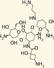 NCCCN[C@@H]1C[C@H](O)[C@@H](CN)O[C@@H]1O[C@H]1[C@H](O)[C@@H](O[C@H]2O[C@H](CO)[C@@H](O)[C@H](N)[C@H]2O)[C@H](NC(=O)C2(O)CC(N)C2)C[C@@H]1N